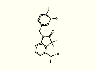 C[C@H](O)c1cccc2c1C(F)(F)C(=O)N2Cc1cc(Br)c(F)cn1